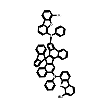 CC(C)(C)C1=CC=CC2c3cccc(N(c4ccccc4)c4cc5c(c6ccccc46)C4(c6ccccc6-c6ccccc64)c4c-5c5ccccc5c5cc(N(c6ccccc6)c6cccc7c6oc6c(C(C)(C)C)cccc67)ccc45)c3OC12